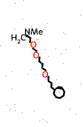 C=C(CCOCCOCCCCCOCCCCC1C#CCCCCC1)NC